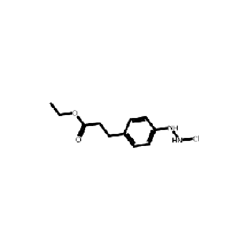 CCOC(=O)CCc1ccc(NNCl)cc1